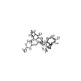 COC1CCN(c2c(C(C)NC(=O)c3c(N)nn4cccnc34)cc(Cl)c3cncn23)CC1